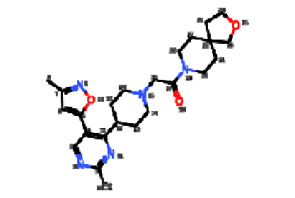 CCc1ncc(-c2cc(C)no2)c(C2CCN(CC(=O)N3CCC4(CCOC4)CC3)CC2)n1